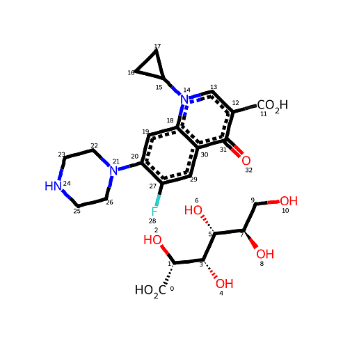 O=C(O)[C@H](O)[C@@H](O)[C@H](O)[C@H](O)CO.O=C(O)c1cn(C2CC2)c2cc(N3CCNCC3)c(F)cc2c1=O